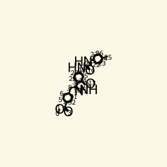 COC(=O)c1ccc(Cc2n[nH]c(=O)c3cc(NC(=O)Nc4ccc(C)cc4)ccc23)cc1